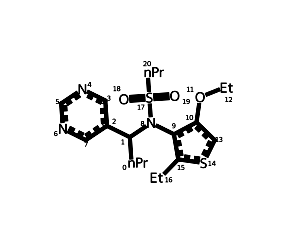 CCCC(c1cncnc1)N(c1c(OCC)csc1CC)S(=O)(=O)CCC